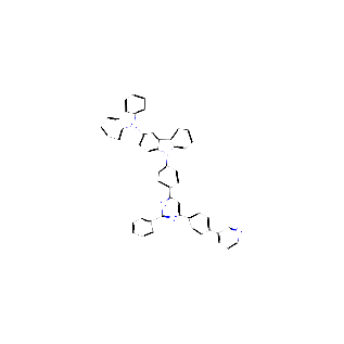 c1ccc(-c2nc(-c3ccc(-c4cccnc4)cc3)cc(-c3ccc(-n4c5ccccc5c5cc(-n6c7ccccc7c7ccccc76)ccc54)cc3)n2)cc1